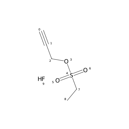 C#CCOS(=O)(=O)CC.F